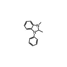 CC1N(C)c2ccccc2N1c1ccccc1